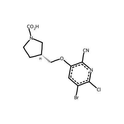 N#Cc1nc(Cl)c(Br)cc1OC[C@@H]1CCN(C(=O)O)C1